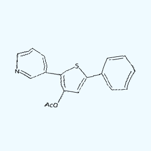 CC(=O)Oc1cc(-c2ccccc2)sc1-c1cccnc1